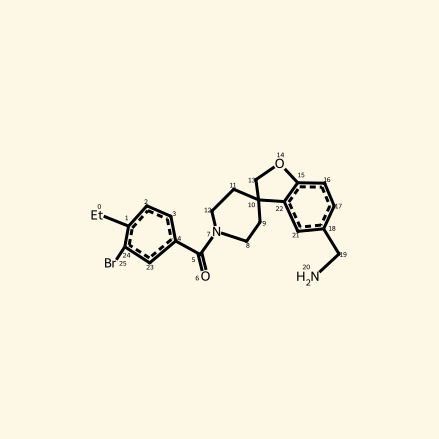 CCc1ccc(C(=O)N2CCC3(CC2)COc2ccc(CN)cc23)cc1Br